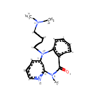 CC(=O)N1C(=O)c2ccccc2N(CCCN(C)C)c2cccnc21